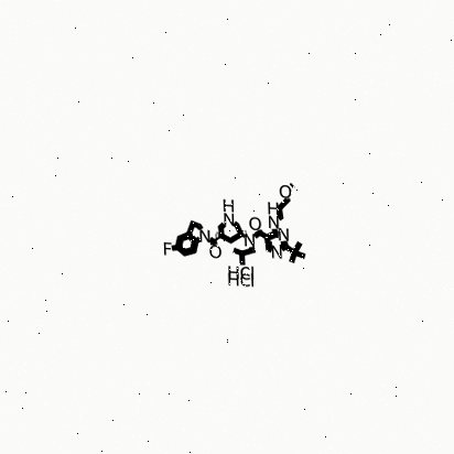 COCCCNc1nc(C(C)(C)C)ncc1C(=O)N(CC(C)C)[C@@H]1CNC[C@H](C(=O)N2CCc3cc(F)ccc32)C1.Cl.Cl